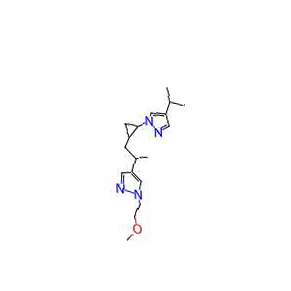 COCCn1cc(C(C)CC2CC2n2cc(C(C)C)cn2)cn1